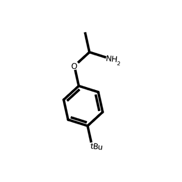 CC(N)Oc1ccc(C(C)(C)C)cc1